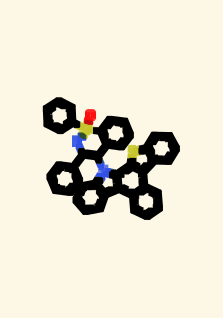 O=S1(c2ccccc2)=NC(c2ccccc2)=C(n2c3ccccc3c3c4ccccc4c4c5ccccc5sc4c32)c2ccccc21